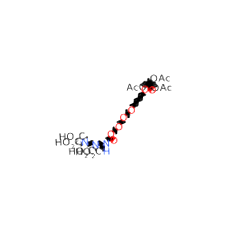 CC(=O)OCC(COC(C)=O)(COC(C)=O)C(=O)OCCCCCCOCCOCCOCCOC(=O)CNC(CC(=O)O)CN(CCN(CC(=O)O)CC(=O)O)CC(=O)O